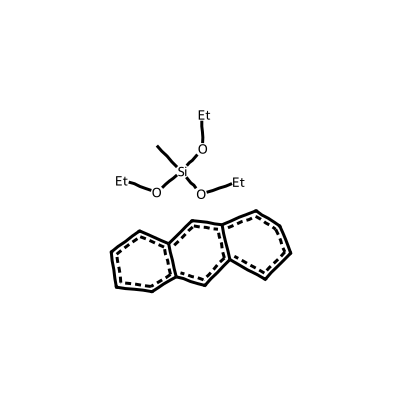 CCO[Si](C)(OCC)OCC.c1ccc2cc3ccccc3cc2c1